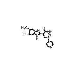 Cc1cc2nc(-c3cc(-c4ccncc4)n[nH]c3=O)[nH]c2cc1Cl